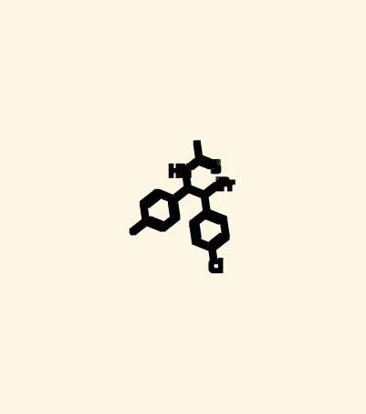 CC(=S)NC(c1ccc(C)cc1)C(c1ccc(Cl)cc1)C(C)C